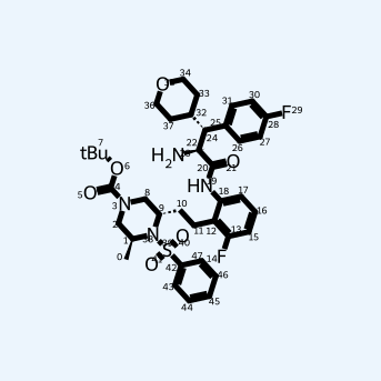 C[C@H]1CN(C(=O)OC(C)(C)C)C[C@H](CCc2c(F)cccc2NC(=O)[C@@H](N)[C@@H](c2ccc(F)cc2)C2CCOCC2)N1S(=O)(=O)c1ccccc1